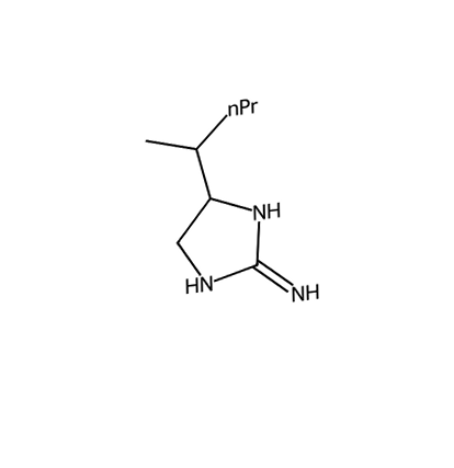 CCCC(C)C1CNC(=N)N1